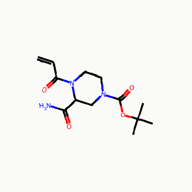 C=CC(=O)N1CCN(C(=O)OC(C)(C)C)CC1C(N)=O